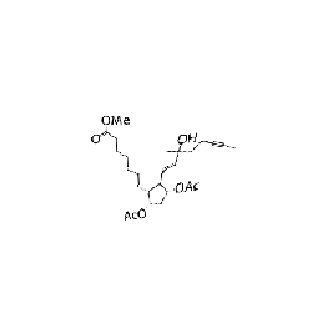 CC#CCCC(C)(O)/C=C/[C@@H]1[C@@H](CCCCCCC(=O)OC)[C@@H](OC(C)=O)C[C@H]1OC(C)=O